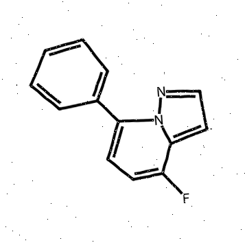 Fc1ccc(-c2ccccc2)n2nc[c]c12